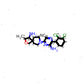 C[C@@H]1OCC2(CCN(c3nc(N)c(-c4cccc(Cl)c4Cl)nc3C#N)CC2)C1N